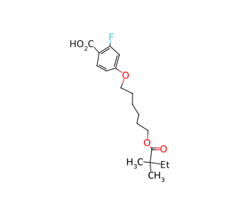 CCC(C)(C)C(=O)OCCCCCCOc1ccc(C(=O)O)c(F)c1